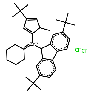 CC1C=C(C(C)(C)C)C=[C]1[Zr+2](=[C]1CCCCC1)[CH]1c2cc(C(C)(C)C)ccc2-c2ccc(C(C)(C)C)cc21.[Cl-].[Cl-]